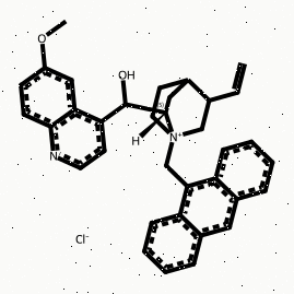 C=CC1C[N+]2(Cc3c4ccccc4cc4ccccc34)CCC1C[C@H]2C(O)c1ccnc2ccc(OC)cc12.[Cl-]